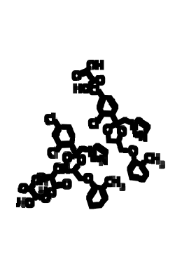 Cc1ccccc1OCC1COC(Cn2ccnc2)(c2ccc(Cl)cc2Cl)O1.Cc1ccccc1OCC1COC(Cn2ccnc2)(c2ccc(Cl)cc2Cl)O1.O=C(O)C(=O)O.O=C(O)C(=O)O.O=C(O)C(=O)O